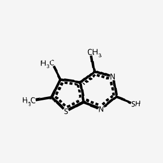 Cc1sc2nc(S)nc(C)c2c1C